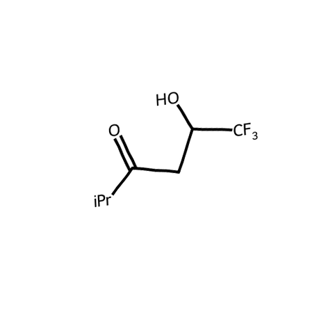 CC(C)C(=O)CC(O)C(F)(F)F